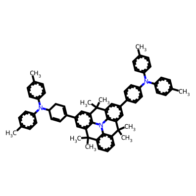 Cc1ccc(N(c2ccc(C)cc2)c2ccc(-c3cc4c5c(c3)C(C)(C)c3cc(C6=CCC(N(c7ccc(C)cc7)c7ccc(C)cc7)C=C6)cc6c3N5c3c(cccc3C4(C)C)C6(C)C)cc2)cc1